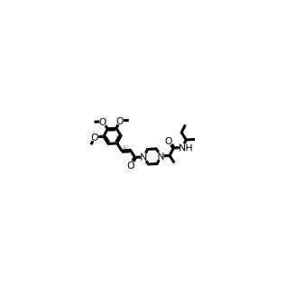 CCC(C)NC(=O)C(C)N1CCN(C(=O)/C=C/c2cc(OC)c(OC)c(OC)c2)CC1